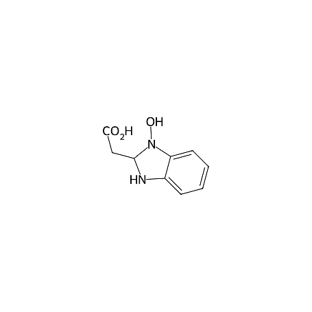 O=C(O)CC1Nc2ccccc2N1O